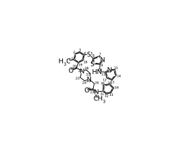 Cc1ccc(Sc2cnc(Nc3ccccn3)s2)cc1C(=O)N1CCN(CC(=O)N(C)c2ccccc2)CC1